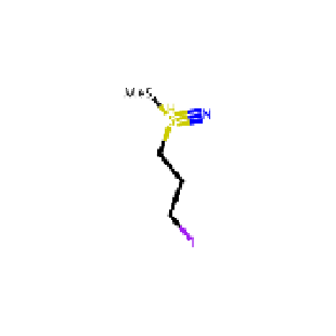 CS[SH](#N)CCCI